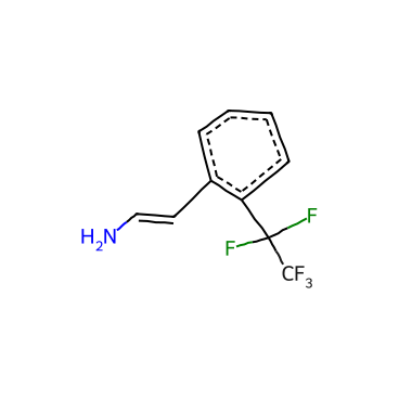 NC=Cc1ccccc1C(F)(F)C(F)(F)F